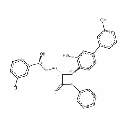 O=C1[C@H](CC[C@H](O)c2cccc(Cl)c2)[C@@H](c2ccc(-c3cccc(O)c3)cc2O)N1c1ccccc1